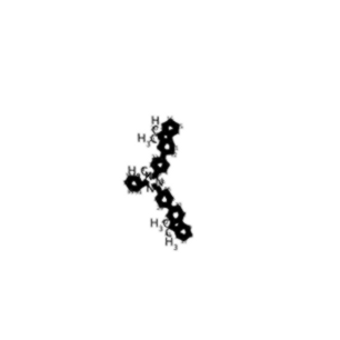 C=[N+]1C(c2ccc(C3C=C4C(CC3)c3ccccc3C4(C)C)cc2)=NC(C2=CCC(C3=CCC4C5=C(C=CCC5)C(C)(C)C4C3)C=C2)=NC1c1ccccc1